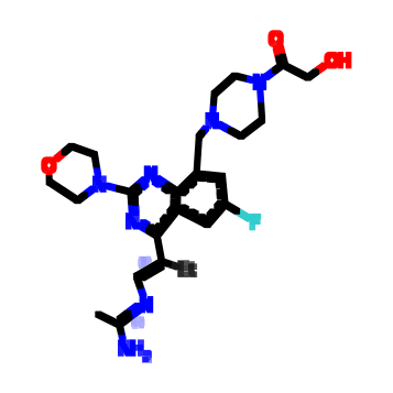 CC/C(=C\N=C(/C)N)c1nc(N2CCOCC2)nc2c(CN3CCN(C(=O)CO)CC3)cc(F)cc12